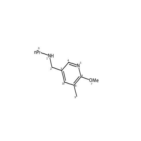 CCCNCc1cnc(OC)c(C)c1